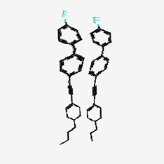 CCCC1CC=C(C#Cc2ccc(-c3ccc(F)cc3)cc2)CC1.CCCCC1CC=C(C#Cc2ccc(-c3ccc(F)cc3)cc2)CC1